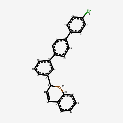 Brc1ccc(-c2ccc(-c3cccc(C4C=Cc5ccccc5S4)c3)cc2)cc1